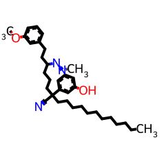 CCCCCCCCCCCCC(C#N)(CCCC(CCc1cccc(OC)c1)/N=N/C)c1cccc(O)c1